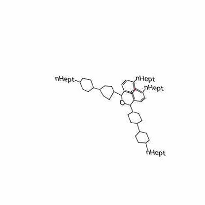 CCCCCCCc1ccc(C(OC(c2ccc(CCCCCCC)cc2)C2CCC(C3CCC(CCCCCCC)CC3)CC2)C2CCC(C3CCC(CCCCCCC)CC3)CC2)cc1